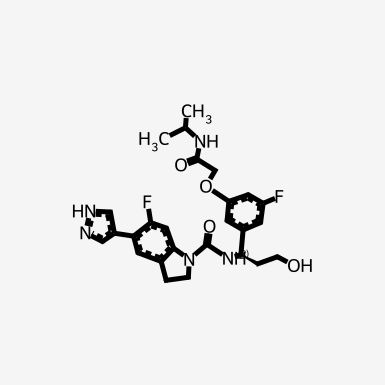 CC(C)NC(=O)COc1cc(F)cc([C@@H](CCO)NC(=O)N2CCc3cc(-c4cn[nH]c4)c(F)cc32)c1